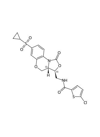 O=C(NC[C@@H]1OC(=O)N2c3ccc(S(=O)(=O)C4CC4)cc3OC[C@@H]12)c1ccc(Cl)s1